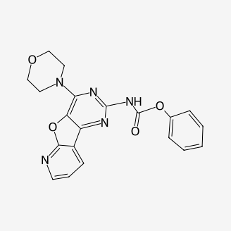 O=C(Nc1nc(N2CCOCC2)c2oc3ncccc3c2n1)Oc1ccccc1